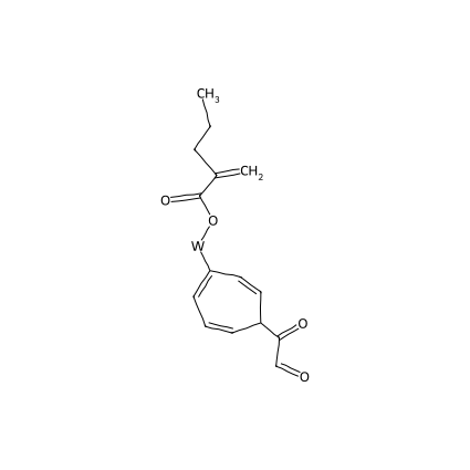 C=C(CCC)C(=O)[O][W][C]1=CC=CC(C(=O)C=O)C=C1